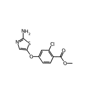 COC(=O)c1ccc(Oc2cnc(N)s2)cc1Cl